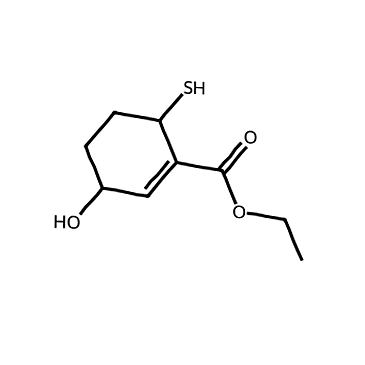 CCOC(=O)C1=CC(O)CCC1S